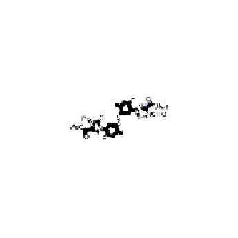 COC(=O)/C(=N/N(C)c1cc(SSc2cc(-n3nc(C(=O)OC)n(C(C)C)c3=O)c(F)cc2C)c(C)cc1F)N(C=O)C(C)C